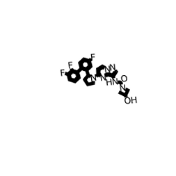 O=C(Nc1cnn2ccc(N3CCCC3c3cc(F)ccc3-c3cccc(F)c3F)nc12)N1CC(O)C1